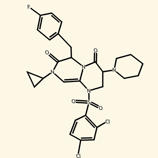 O=C1C(Cc2ccc(F)cc2)N2C(=O)C(N3CCCCC3)CN(S(=O)(=O)c3ccc(Cl)cc3Cl)C2=CN1C1CC1